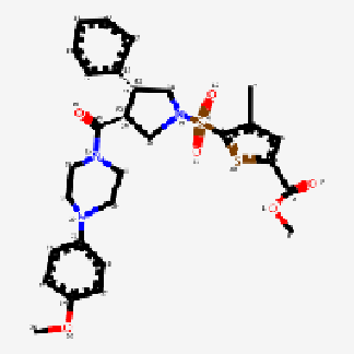 COC(=O)c1cc(C)c(S(=O)(=O)N2C[C@@H](C(=O)N3CCN(c4ccc(OC)cc4)CC3)[C@H](c3ccccc3)C2)s1